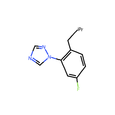 CC(C)Cc1ccc(F)cc1-n1cncn1